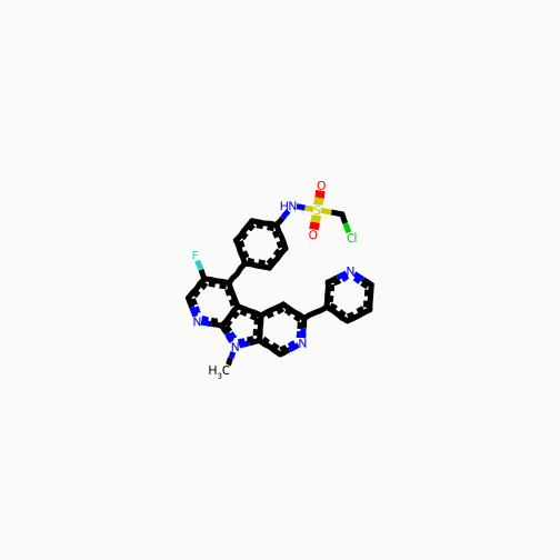 Cn1c2cnc(-c3cccnc3)cc2c2c(-c3ccc(NS(=O)(=O)CCl)cc3)c(F)cnc21